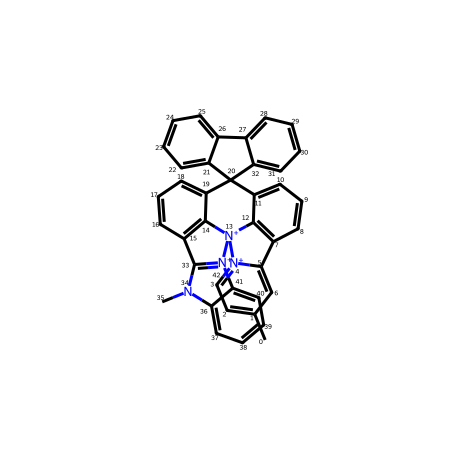 Cc1cc[n+]2c(c1)-c1cccc3c1[N+]21c2c(cccc2C32c3ccccc3-c3ccccc32)-c2n(C)c3ccccc3[n+]21